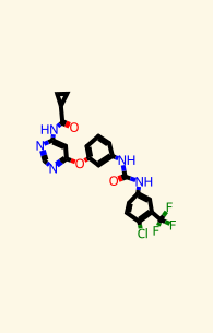 O=C(Nc1cccc(Oc2cc(NC(=O)C3CC3)ncn2)c1)Nc1ccc(Cl)c(C(F)(F)F)c1